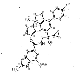 COc1cc(C(=O)NCC(O)(c2cc3c(c(-c4ccc(F)cc4)n2)OC[C@@]3(n2ccnn2)C(F)(F)F)C2CC2)cc2cn(C)nc12